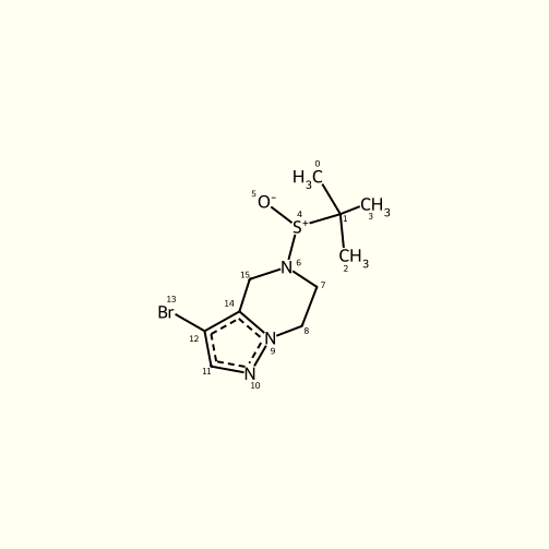 CC(C)(C)[S+]([O-])N1CCn2ncc(Br)c2C1